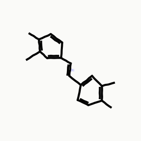 Cc1ccc(/C=C/c2ccc(C)c(C)c2)cc1C